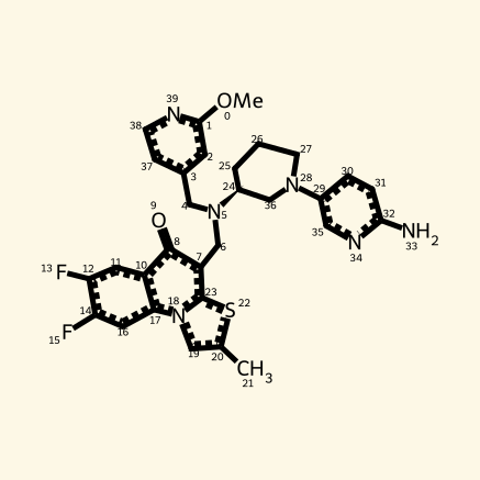 COc1cc(CN(Cc2c(=O)c3cc(F)c(F)cc3n3cc(C)sc23)[C@H]2CCCN(c3ccc(N)nc3)C2)ccn1